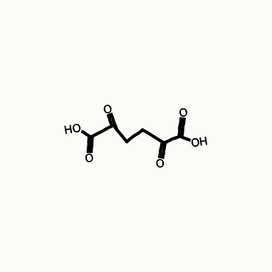 O=C(O)C(=O)CCC(=O)C(=O)O